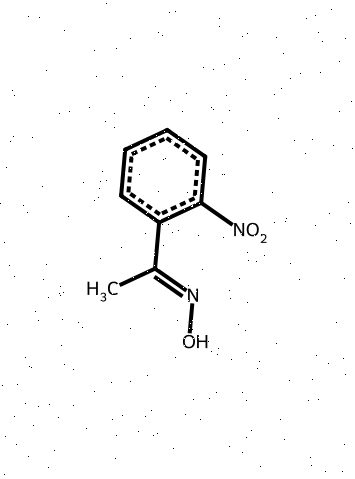 CC(=NO)c1ccccc1[N+](=O)[O-]